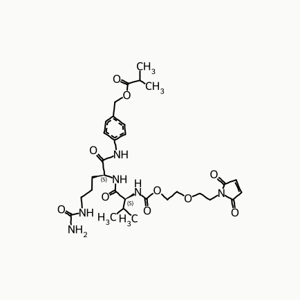 CC(C)C(=O)OCc1ccc(NC(=O)[C@H](CCCNC(N)=O)NC(=O)[C@@H](NC(=O)OCCOCCN2C(=O)C=CC2=O)C(C)C)cc1